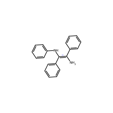 N/C(=C(/Nc1ccccc1)c1ccccc1)c1ccccc1